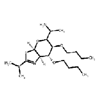 CCCCO[C@@H]1[C@H]2N=C(N(C)C)S[C@H]2OC(C(C)N)[C@H]1OCCCC